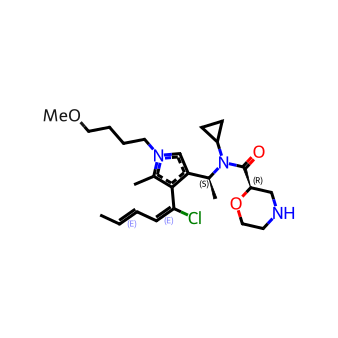 C/C=C/C=C(/Cl)c1c([C@H](C)N(C(=O)[C@H]2CNCCO2)C2CC2)cn(CCCCOC)c1C